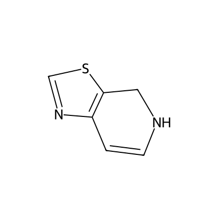 C1=Cc2ncsc2CN1